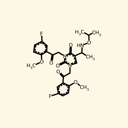 COc1ccc(F)cc1C(=O)Cn1cc(C(C)NOC(C)C)c(=O)n(CC(=O)c2cc(F)ccc2OC)c1=O